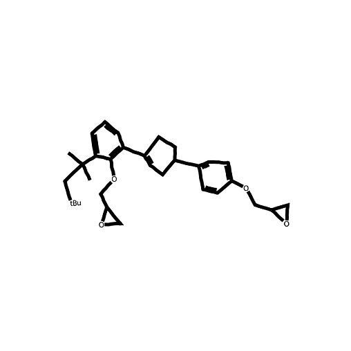 CC(C)(C)CC(C)(C)c1cccc(C2=CCC(c3ccc(OCC4CO4)cc3)CC2)c1OCC1CO1